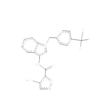 Cc1cnoc1C(=O)Nc1cn(Cc2ccc(C(F)(F)F)cc2)c2ccccc12